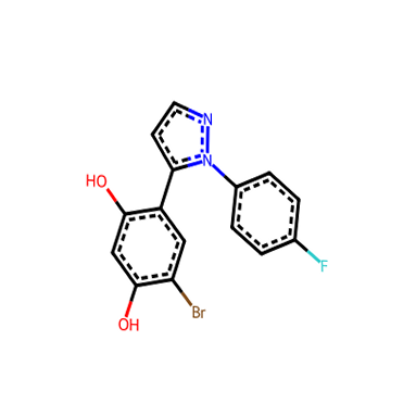 Oc1cc(O)c(-c2ccnn2-c2ccc(F)cc2)cc1Br